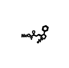 C#[N+]N1CCC(c2ccccc2)/C1=C/CC(=O)N(C)OC